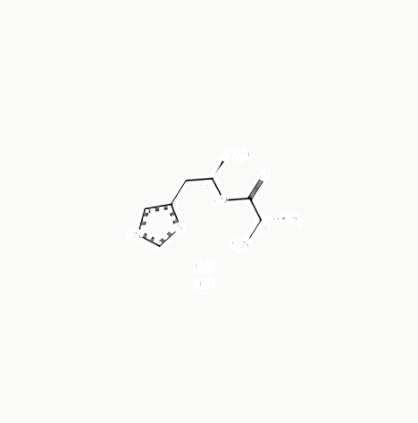 C[C@H](N)C(=O)N[C@@H](Cc1c[nH]cn1)C(=O)O.O.O